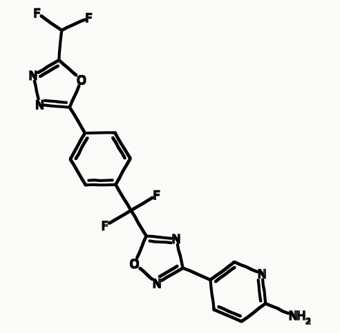 Nc1ccc(-c2noc(C(F)(F)c3ccc(-c4nnc(C(F)F)o4)cc3)n2)cn1